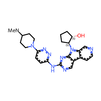 CNC1CCN(c2ccc(Nc3ncc4c5ccncc5n([C@H]5CCC[C@@H]5O)c4n3)nn2)CC1